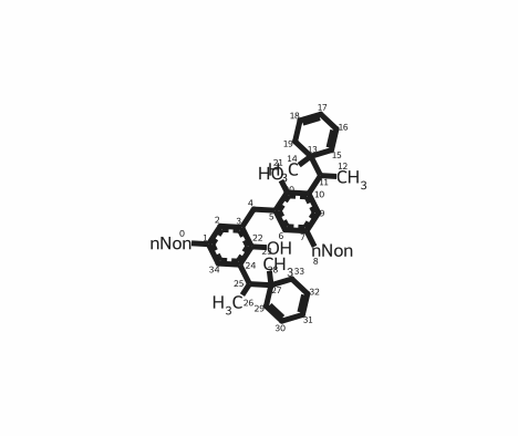 CCCCCCCCCc1cc(Cc2cc(CCCCCCCCC)cc(C(C)C3(C)C=CC=CC3)c2O)c(O)c(C(C)C2(C)C=CC=CC2)c1